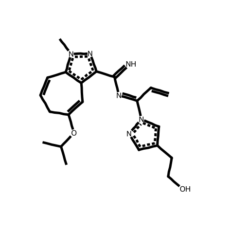 C=C/C(=N\C(=N)c1nn(C)c2c1C=C(OC(C)C)CC=C2)n1cc(CCO)cn1